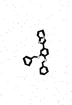 c1ccc(COc2ccc(-c3cn4ccccc4n3)cc2OCc2ccccc2)cc1